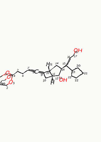 CC12COC(CCC=C=C3C[C@H]4[C@@H](O)[C@H](/C(=C/CO)C5CCCC5)C[C@@H]34)(OC1)OC2